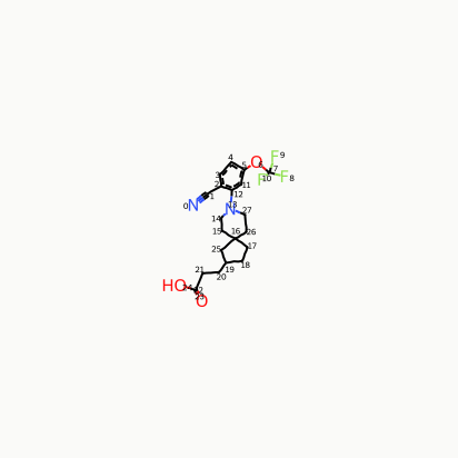 N#Cc1ccc(OC(F)(F)F)cc1N1CCC2(CCC(CCC(=O)O)C2)CC1